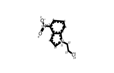 O=[N+]([O-])c1cccc2c1ccn2CCCl